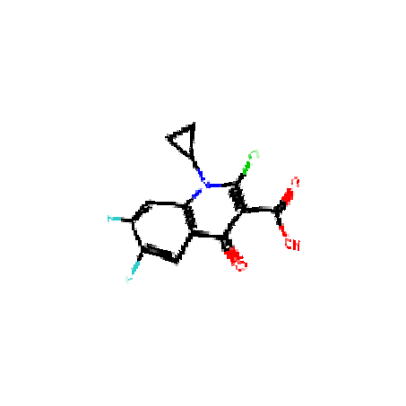 O=C(O)c1c(Cl)n(C2CC2)c2cc(F)c(F)cc2c1=O